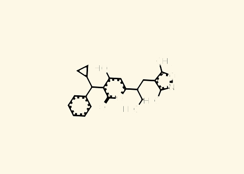 CCC(Cc1c(C)noc1C)c1cc(O)c(C(c2ccccc2)C2CC2)c(=O)o1